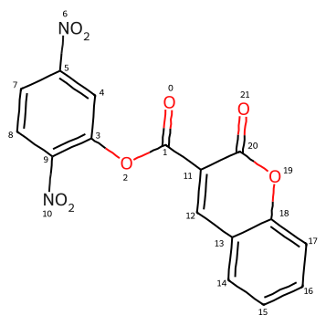 O=C(Oc1cc([N+](=O)[O-])ccc1[N+](=O)[O-])c1cc2ccccc2oc1=O